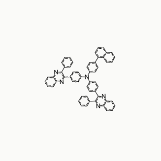 c1ccc(-c2nc3ccccc3nc2-c2ccc(N(c3ccc(-c4nc5ccccc5nc4-c4ccccc4)cc3)c3ccc(-c4cccc5ccccc45)cc3)cc2)cc1